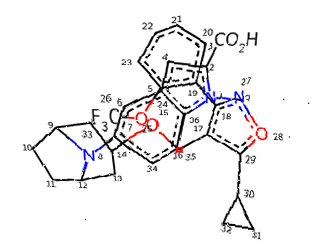 Cn1c(C(=O)O)cc2cc(N3C4CCC3CC(OCc3c(-c5ccccc5OC(F)(F)F)noc3C3CC3)C4)ccc21